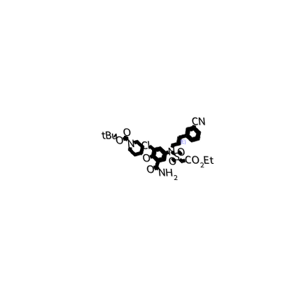 CCOC(=O)CS(=O)(=O)N(C/C=C/c1cccc(C#N)c1)c1cc(Cl)c(OC2CCN(C(=O)OC(C)(C)C)CC2)c(C(N)=O)c1